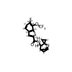 O=C(N[C@@H]1C2CCN(CC2)C12CC2)c1cc2ccc(F)c(OC(F)(F)F)c2s1